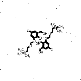 C[Si](C)(C)CCOCOc1cc(Cl)cc(CO)c1OB(O)c1c(CO)cc(Cl)cc1OCOCC[Si](C)(C)C